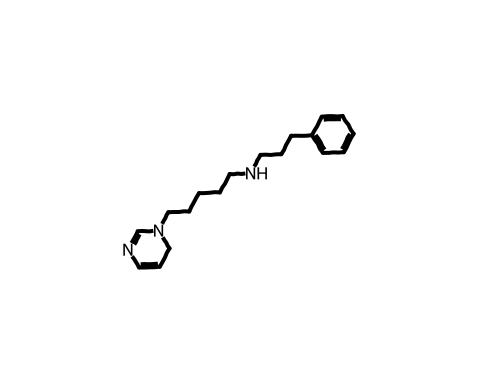 C1=CN=CN(CCCCCNCCCc2ccccc2)C1